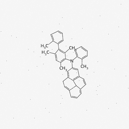 Cc1ccccc1-c1c(C)cc(C)c(N(c2cc3c4c(c2)CC=C2C=CC=C(C=C3)C24)c2ccccc2C)c1C